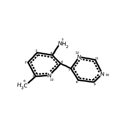 Cc1ccc(N)c(-c2ccncn2)n1